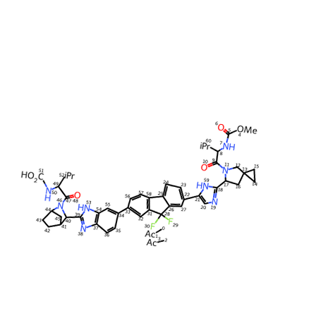 CC(C)=O.CC(C)=O.COC(=O)NC(C(=O)N1CC2(CC2)CC1c1ncc(-c2ccc3c(c2)C(F)(F)c2cc(-c4ccc5nc(C6C7CCC(C7)N6C(=O)C(NC(=O)O)C(C)C)[nH]c5c4)ccc2-3)[nH]1)C(C)C